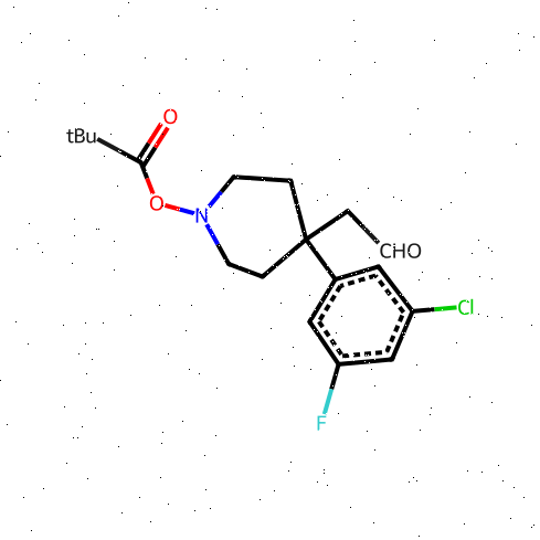 CC(C)(C)C(=O)ON1CCC(CC=O)(c2cc(F)cc(Cl)c2)CC1